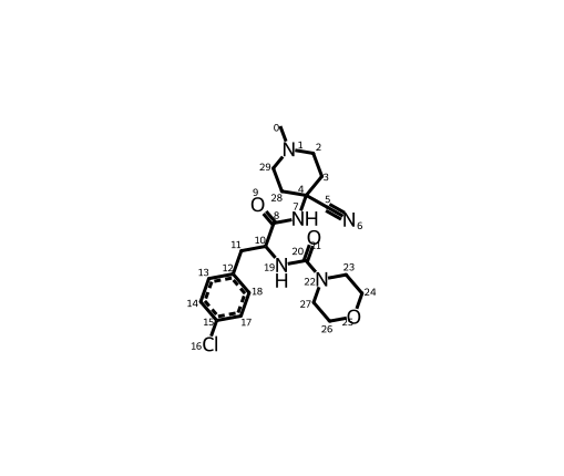 CN1CCC(C#N)(NC(=O)C(Cc2ccc(Cl)cc2)NC(=O)N2CCOCC2)CC1